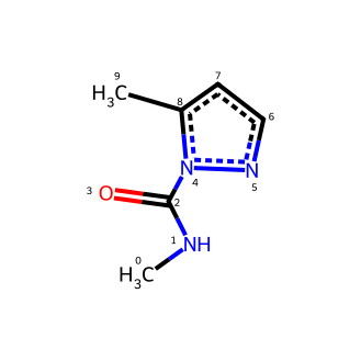 CNC(=O)n1nccc1C